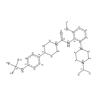 COc1cccc(N2CCN(C(C)C)CC2)c1NC(=O)N1CCC(c2ccc(OC(F)(F)F)cc2)CC1